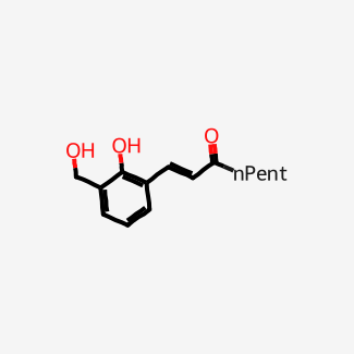 CCCCCC(=O)C=Cc1cccc(CO)c1O